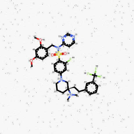 COc1ccc(CN(c2ccncn2)S(=O)(=O)c2ccc(N3CCC[C@@](CCc4cccc(C(F)(F)F)c4)(N(C)C)C3)cc2F)c(OC)c1